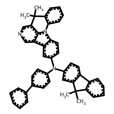 CC1(C)c2ccccc2-c2ccc(N(c3ccc(-c4ccccc4)cc3)c3ccc4c(c3)c3cncc5c3n4-c3ccccc3C5(C)C)cc21